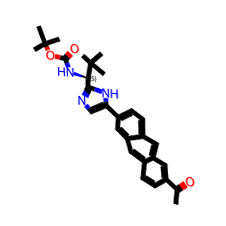 CC(=O)c1ccc2cc3cc(-c4cnc([C@@H](NC(=O)OC(C)(C)C)C(C)(C)C)[nH]4)ccc3cc2c1